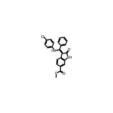 COC(=O)c1ccc2c(c1)NC(=O)C2=C(Nc1ccc(Cl)cc1)c1ccccc1